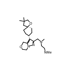 CNCCN(C)Cc1nn2c(c1[C@H]1CC[C@]3(CC1)CC(C)(C)CO3)COCC2